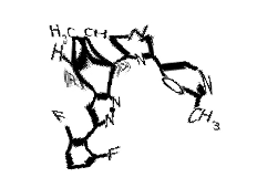 Cc1ncc(-c2cncc([C@@]34CC[C@@H](c5cc(-c6c(F)cccc6F)nnc53)C4(C)C)n2)o1